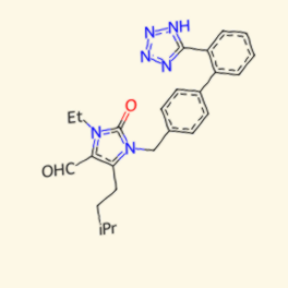 CCn1c(C=O)c(CCC(C)C)n(Cc2ccc(-c3ccccc3-c3nnn[nH]3)cc2)c1=O